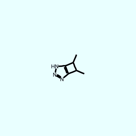 CC1c2nn[nH]c2C1C